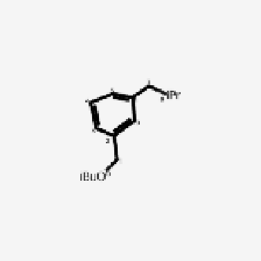 CC(C)COCc1cccc(CC(C)C)c1